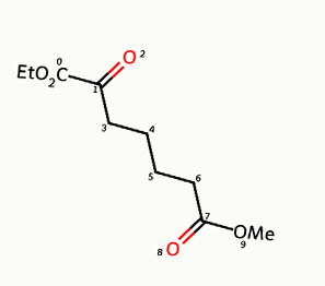 CCOC(=O)C(=O)CCCCC(=O)OC